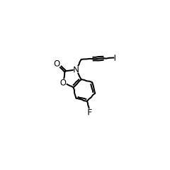 O=c1oc2cc(F)ccc2n1CC#CI